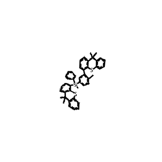 Cc1ccc([Si](C)(c2ccccc2)c2cccc3c2Sc2ccccc2C3(C)C)cc1-c1cccc2c1Sc1ccccc1C2(C)C